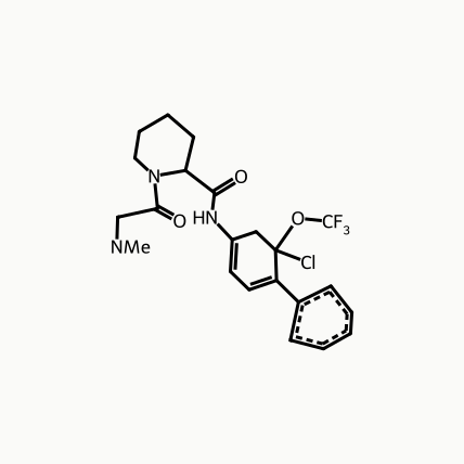 CNCC(=O)N1CCCCC1C(=O)NC1=CC=C(c2ccccc2)C(Cl)(OC(F)(F)F)C1